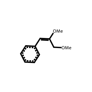 COCC(=Cc1ccccc1)OC